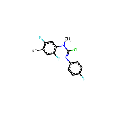 CN(C(Cl)=Nc1ccc(F)cc1)c1cc(F)c(C#N)cc1F